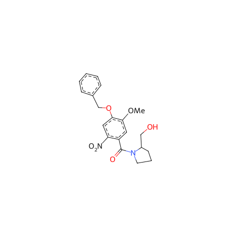 COc1cc(C(=O)N2CCCC2CO)c([N+](=O)[O-])cc1OCc1ccccc1